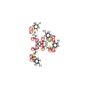 Cc1ccc(S(=O)(=O)SCCC(=O)OCC(COC(=O)CCSS(=O)(=O)c2ccc(C)cc2)(COC(=O)CCSS(=O)(=O)c2ccc(C)cc2)COC(=O)CCSS(=O)(=O)c2ccc(C)cc2)cc1